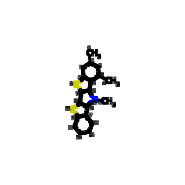 Cc1cc(C)c2c(c1)sc1c3sc4ccccc4c3n(C)c12